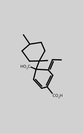 CC=C1C=C(C(=O)O)C=CC1(C(=O)O)C1(C)CCC(C)CC1